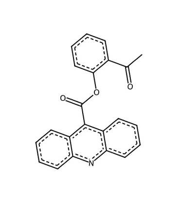 CC(=O)c1ccccc1OC(=O)c1c2ccccc2nc2ccccc12